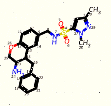 Cc1cc(S(=O)(=O)NCc2ccc3c(c2)C(Cc2ccccc2)C(N)CO3)n(C)n1